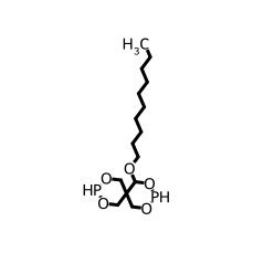 CCCCCCCCCCOC1OPOCC12COPOC2